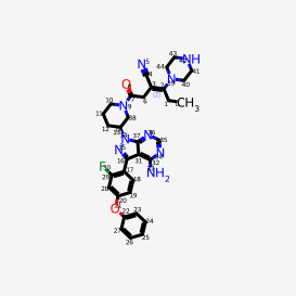 CC/C(=C(/C#N)CC(=O)N1CCC[C@H](n2nc(-c3ccc(Oc4ccccc4)cc3F)c3c(N)ncnc32)C1)N1CCNCC1